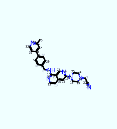 Cc1cc(-c2ccc(CNc3nccc4cc(N5CCN(CC#N)CC5)ncc34)cc2)ccn1